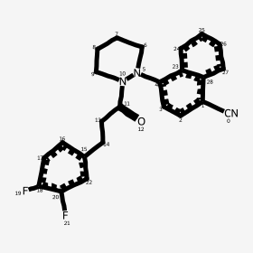 N#Cc1ccc(N2CCCCN2C(=O)CCc2ccc(F)c(F)c2)c2ccccc12